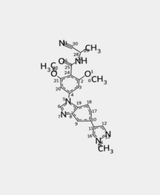 COc1cc(-n2cnc3cc(-c4cnn(C)c4)ccc32)cc(OC)c1C(=O)NC(C)C#N